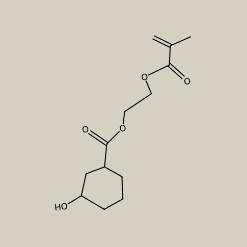 C=C(C)C(=O)OCCOC(=O)C1CCCC(O)C1